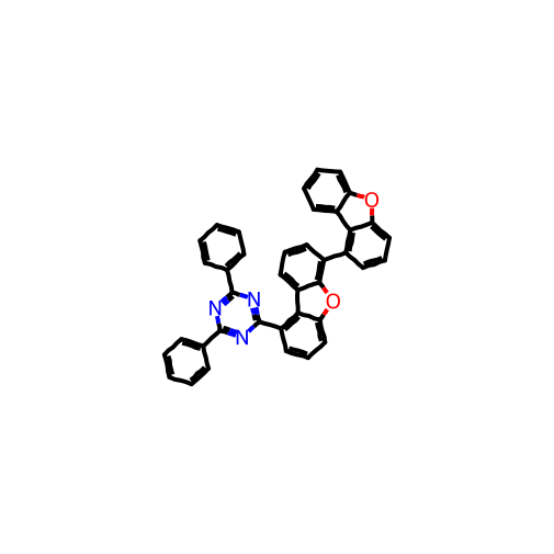 c1ccc(-c2nc(-c3ccccc3)nc(-c3cccc4oc5c(-c6cccc7oc8ccccc8c67)cccc5c34)n2)cc1